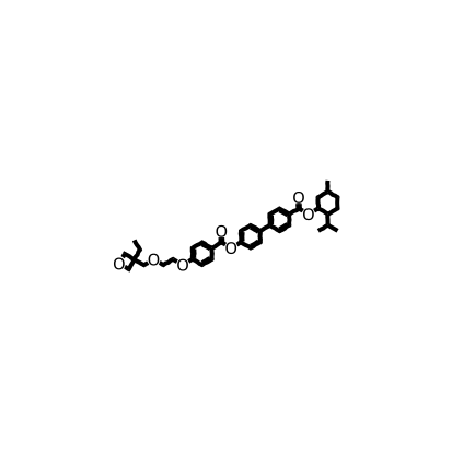 CCC1(COCCOc2ccc(C(=O)Oc3ccc(-c4ccc(C(=O)OC5CC(C)CCC5C(C)C)cc4)cc3)cc2)COC1